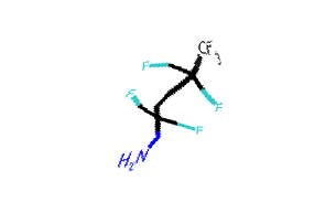 NC(F)(F)C(F)(F)C(F)(F)F